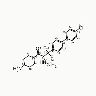 CN[C@@H](C(=O)N1CCC(N)CC1)C(F)(F)c1ccc(-c2ccc(Cl)cc2)cc1